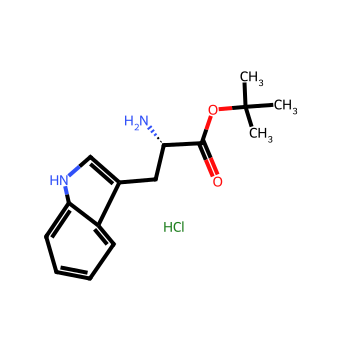 CC(C)(C)OC(=O)[C@@H](N)Cc1c[nH]c2ccccc12.Cl